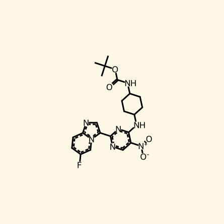 CC(C)(C)OC(=O)NC1CCC(Nc2nc(-c3cnc4ccc(F)cn34)ncc2[N+](=O)[O-])CC1